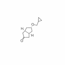 O=C1C[C@@H]2C[C@@H](OCC3CC3)C[C@@H]2C1